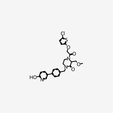 COCC1C(=O)N(Cc2ccc(-c3ccc(O)nc3)cc2)CCN1C(=O)COc1ccc(Cl)s1